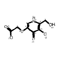 O=C(Cl)COc1c[nH]c(CO)c(Cl)c1=O